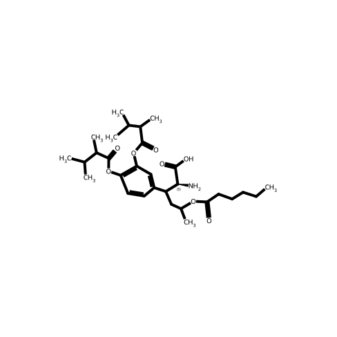 CCCCCC(=O)OC(C)CC(c1ccc(OC(=O)C(C)C(C)C)c(OC(=O)C(C)C(C)C)c1)[C@H](N)C(=O)O